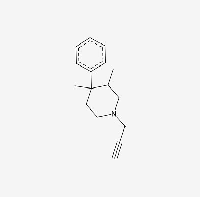 C#CCN1CCC(C)(c2ccccc2)C(C)C1